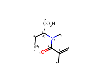 [CH2]N(C(=O)C(=C)C)[C@H](CC(C)C)C(=O)O